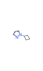 c1cnn(C2CCC2)c1